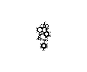 CC(=O)O[C@@]12CCCC[C@]1(CCN(C)C)c1cc(OCc3ccccc3)ccc1CC2